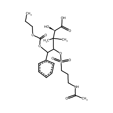 CCCOC(=O)OC(c1ccccc1)C(OS(=O)(=O)CCCNC(C)=O)C(C)(C)[C@@H](O)C(=O)O